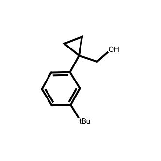 CC(C)(C)c1cccc(C2(CO)CC2)c1